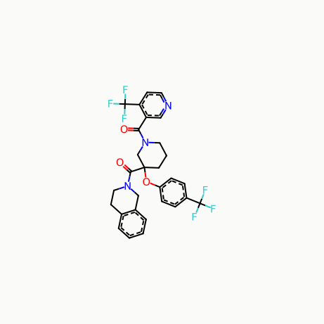 O=C(c1cnccc1C(F)(F)F)N1CCCC(Oc2ccc(C(F)(F)F)cc2)(C(=O)N2CCc3ccccc3C2)C1